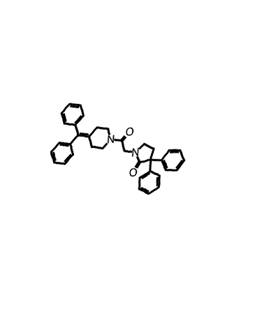 O=C(CN1CCC(c2ccccc2)(c2ccccc2)C1=O)N1CCC(=C(c2ccccc2)c2ccccc2)CC1